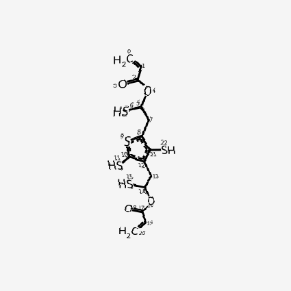 C=CC(=O)OC(S)Cc1sc(S)c(CC(S)OC(=O)C=C)c1S